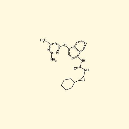 Cc1cc(Oc2ccc(NC(=O)NC3CC3C3CCCCC3)c3ccccc23)nc(N)n1